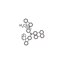 CC1(C)c2ccccc2-c2cccc(-c3cccc(N(c4ccc(-c5cccc6cccc(-c7ccccc7)c56)cc4)c4ccc5c(c4)C4(c6ccccc6-5)C5CC6CC(C5)CC4C6)c3)c21